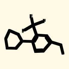 CCc1ccc(C2CCCCC2)c(C(F)(F)F)c1